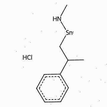 C[NH][Sn][CH2]C(C)c1ccccc1.Cl